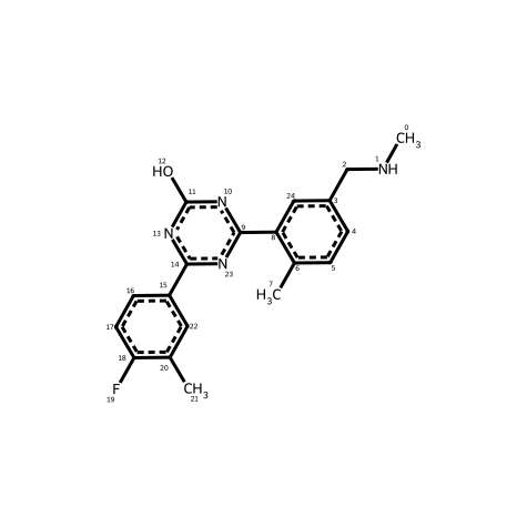 CNCc1ccc(C)c(-c2nc(O)nc(-c3ccc(F)c(C)c3)n2)c1